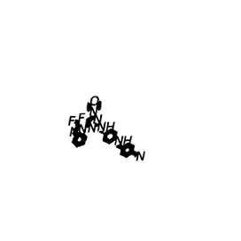 N#Cc1ccc(CN[C@H]2CC[C@H](CNc3nc(N4CCOCC4)cc(-n4c(C(F)F)nc5ccccc54)n3)CC2)cc1